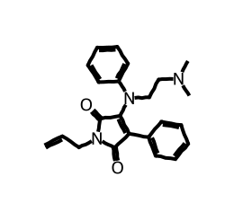 C=CCN1C(=O)C(c2ccccc2)=C(N(CCN(C)C)c2ccccc2)C1=O